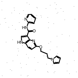 O=C(Nc1ccccn1)c1c[nH]c2ccc(OCCCn3cccc3)nc12